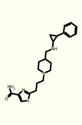 NC(=O)c1csc(CCCN2CCC(CNC3CC3c3ccccc3)CC2)n1